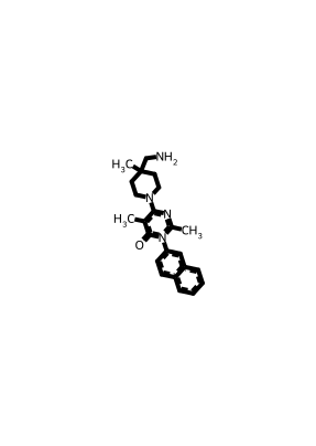 Cc1c(N2CCC(C)(CN)CC2)nc(C)n(-c2ccc3ccccc3c2)c1=O